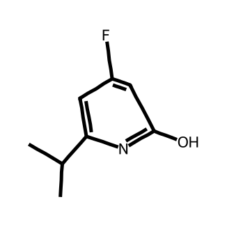 CC(C)c1cc(F)cc(O)n1